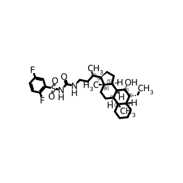 CC[C@H]1[C@@H](O)[C@@H]2[C@H](CC[C@]3(C)[C@@H]([C@H](C)CCNC(=O)NS(=O)(=O)c4cc(F)ccc4F)CC[C@@H]23)[C@@]2(C)CCCC[C@@H]12